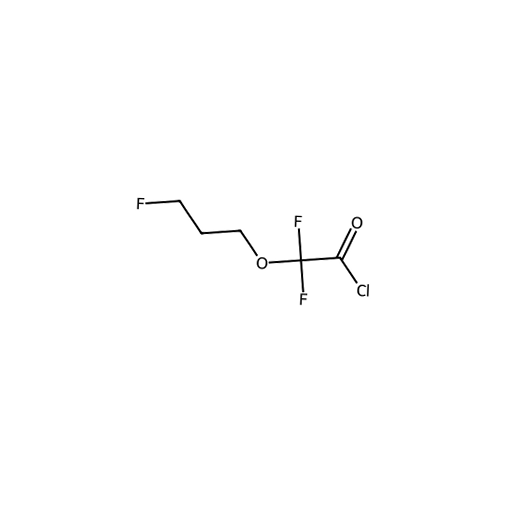 O=C(Cl)C(F)(F)OCCCF